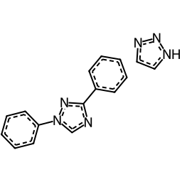 c1c[nH]nn1.c1ccc(-c2ncn(-c3ccccc3)n2)cc1